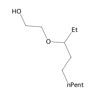 CCCCCCCC(CC)OCCO